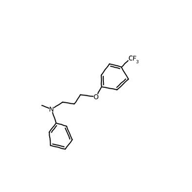 CN(CCCOc1ccc(C(F)(F)F)cc1)c1ccccc1